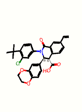 C=Cc1ccc2c(c1)C(=O)N(c1ccc(C(C)(C)C)c(Cl)c1)[C@H](c1ccc3c(c1)OCCO3)[C@H]2C(=O)O